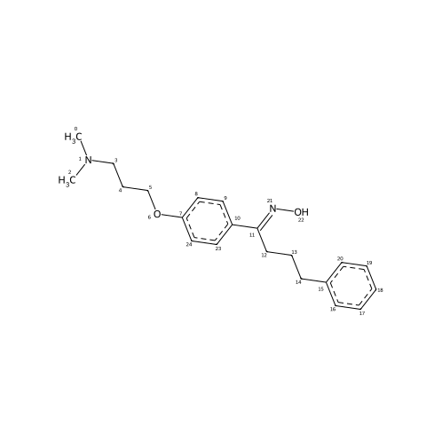 CN(C)CCCOc1ccc(C(CCCc2ccccc2)=NO)cc1